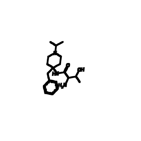 CC(O)C(N)C(=O)NC1(Cc2ccccc2)CCN(C(C)C)CC1